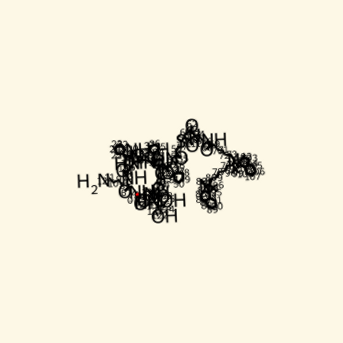 C[C@@H](O)[C@@H]1NC(=O)[C@H](CCCCN)NC(=O)[C@@H](Cc2c[nH]c3ccccc23)NC(=O)[C@H](Cc2ccccc2)NC(=O)[C@@H](NC(=O)[C@@H](Cc2ccccc2)NC(=O)CCSC2CC(=O)N(CCNC(=O)CCCCC[N+]3=C(/C=C/C=C/C=C4/N(C)c5ccc6ccccc6c5C4(C)C)C(C)(C)c4c3ccc3ccccc43)C2=O)CSSCC(C(=O)N[C@H](CO)[C@@H](C)O)NC1=O